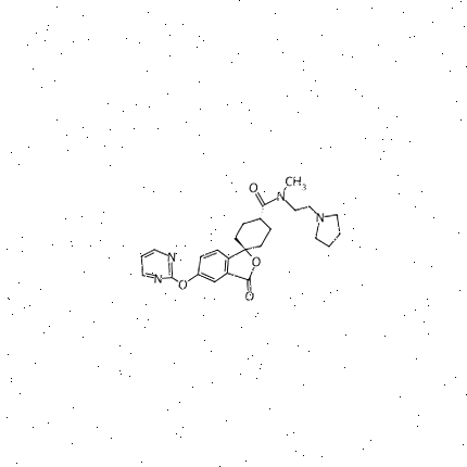 CN(CCN1CCCC1)C(=O)[C@H]1CC[C@@]2(CC1)OC(=O)c1cc(Oc3ncccn3)ccc12